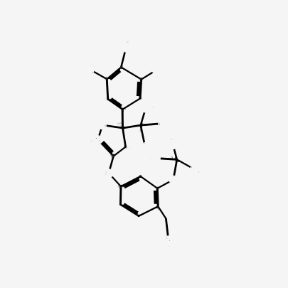 NCc1ccc(NC2=NOC(c3cc(Cl)c(F)c(Cl)c3)(C(F)(F)F)C2)cc1OC(F)(F)F